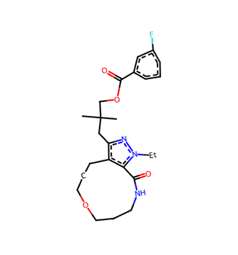 CCn1nc(CC(C)(C)COC(=O)c2cccc(F)c2)c2c1C(=O)NCCCOCCC2